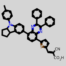 Cc1ccc(N2c3ccc(-c4ccc(-c5ccc(/C=C(\C#N)C(=O)O)s5)c5nc(-c6ccccc6)c(-c6ccccc6)nc45)cc3C3CCCC32)cc1